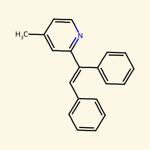 Cc1ccnc(C(=Cc2ccccc2)c2ccccc2)c1